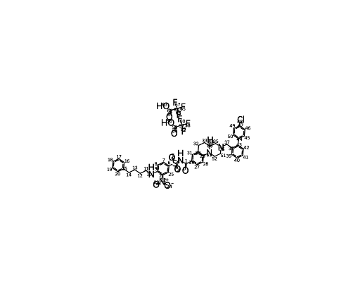 O=C(NS(=O)(=O)c1ccc(NCCCCc2ccccc2)c([N+](=O)[O-])c1)c1ccc2c(c1)CC[C@H]1CN(Cc3ccccc3-c3ccc(Cl)cc3)CCN21.O=C(O)C(F)(F)F.O=C(O)C(F)(F)F